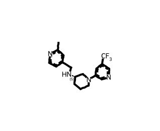 Cc1cc(CN[C@H]2CCCN(c3cncc(C(F)(F)F)c3)C2)ccn1